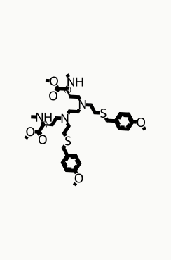 CN[C@@H](CCN(CCSCc1ccc(OC)cc1)CCN(CCSCc1ccc(OC)cc1)CC[C@H](NC)C(=O)OC)C(=O)OC